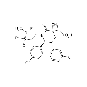 CN=S(=O)(C[C@H](C(C)C)N1C(=O)[C@@](C)(CC(=O)O)C[C@H](c2cccc(Cl)c2)[C@H]1c1ccc(Cl)cc1)C(C)C